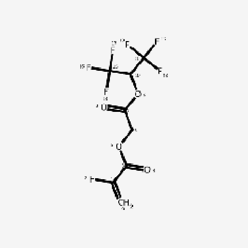 C=C(F)C(=O)OCC(=O)OC(C(F)(F)F)C(F)(F)F